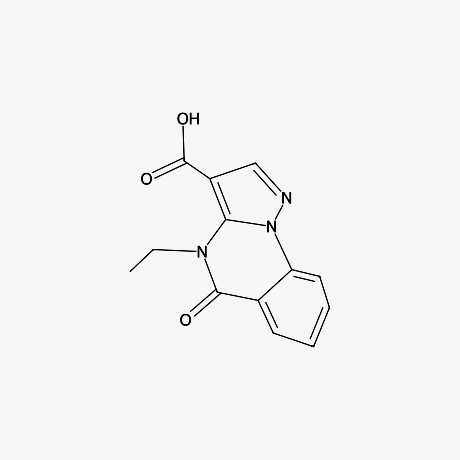 CCn1c(=O)c2ccccc2n2ncc(C(=O)O)c12